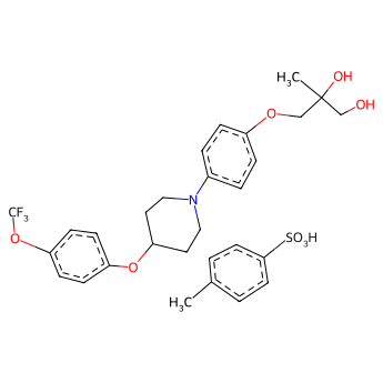 CC(O)(CO)COc1ccc(N2CCC(Oc3ccc(OC(F)(F)F)cc3)CC2)cc1.Cc1ccc(S(=O)(=O)O)cc1